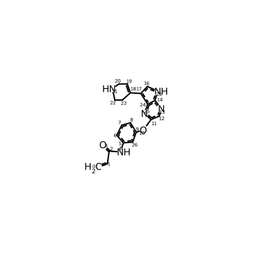 C=CC(=O)Nc1cccc(Oc2cnc3[nH]cc(C4=CCNCC4)c3n2)c1